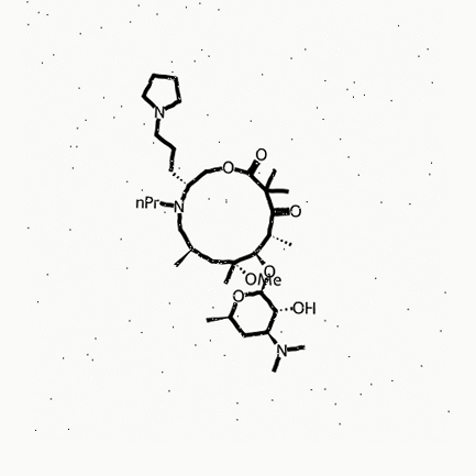 CCCN1C[C@H](C)C[C@@](C)(OC)[C@H](O[C@@H]2O[C@H](C)C[C@H](N(C)C)[C@H]2O)[C@@H](C)C(=O)C(C)(C)C(=O)OC[C@H]1CCCN1CCCC1